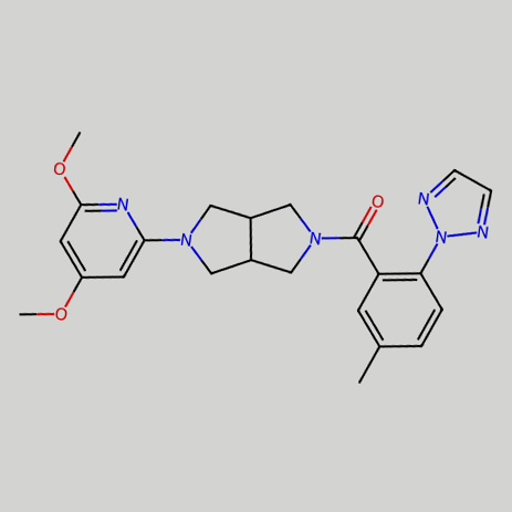 COc1cc(OC)nc(N2CC3CN(C(=O)c4cc(C)ccc4-n4nccn4)CC3C2)c1